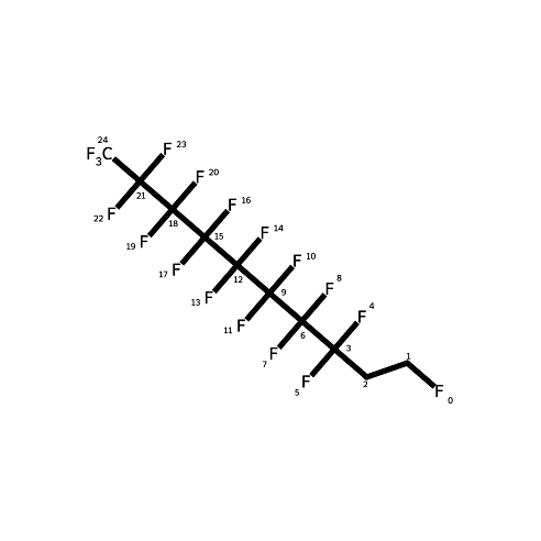 FCCC(F)(F)C(F)(F)C(F)(F)C(F)(F)C(F)(F)C(F)(F)C(F)(F)C(F)(F)F